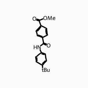 COC(=O)c1ccc(C(=O)Nc2ccc(C(C)(C)C)cc2)cc1